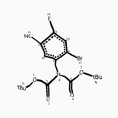 CC(C)(C)OC(=O)N(C(=O)OC(C)(C)C)c1cc(C#N)c(F)cc1Br